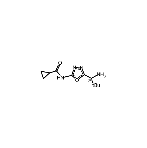 CC(C)(C)[C@H](N)c1nnc(NC(=O)C2CC2)o1